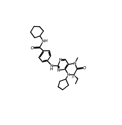 CC[C@@H]1C(=O)N(C)c2cnc(Nc3ccc(C(=O)NC4CCCCC4)cc3)nc2N1C1CCCC1